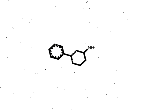 [NH]C1CCCC(c2ccccc2)C1